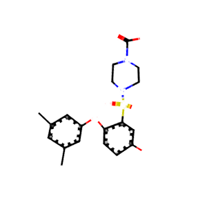 Cc1cc(C)cc(Oc2ccc(O)cc2S(=O)(=O)N2CCN(C(=O)O)CC2)c1